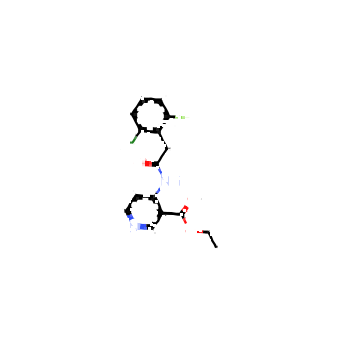 CCOC(=O)c1cnccc1NC(=O)Cc1c(F)cccc1Cl